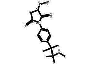 CBC(C)(C)C(C)(C)c1ccc(N2C(=O)CC(SC(C)C)C2=O)cc1